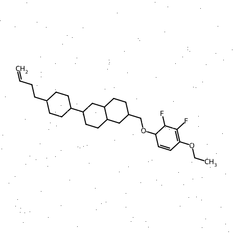 C=CCCC1CCC(C2CCC3CC(COC4C=CC(OCC)=C(F)C4F)CCC3C2)CC1